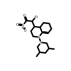 CCC(C(=O)[SH](=O)=O)C1CCN(N2CC(C)CC(C)C2)C2=CCCCC21